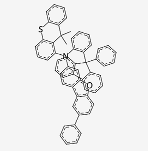 CC1(C)c2ccccc2Sc2cccc(N(c3ccc4c(c3)oc3ccc(-c5ccccc5)cc34)c3ccccc3C3(c4ccccc4)c4ccccc4-c4ccccc43)c21